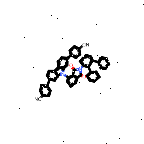 N#Cc1ccc(-c2ccc3c4ccc(-c5ccc(C#N)cc5)cc4n(-c4cccc5c4C(=O)N(c4cccc(-c6ccccc6)c4-c4ccccc4)C5=O)c3c2)cc1